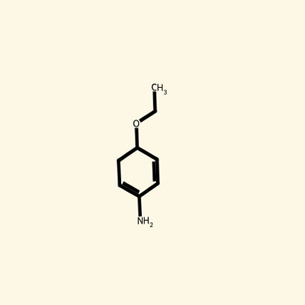 CCOC1C=CC(N)=CC1